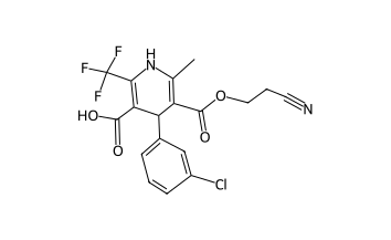 CC1=C(C(=O)OCCC#N)C(c2cccc(Cl)c2)C(C(=O)O)=C(C(F)(F)F)N1